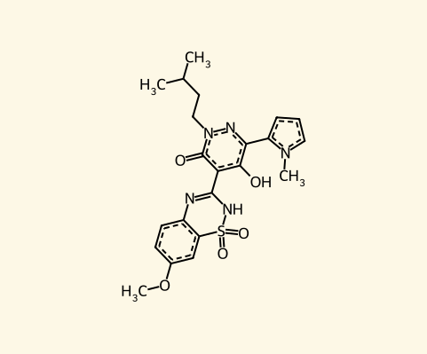 COc1ccc2c(c1)S(=O)(=O)NC(c1c(O)c(-c3cccn3C)nn(CCC(C)C)c1=O)=N2